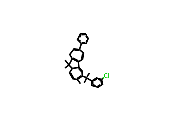 CC1=C(C(C)(C)c2cccc(Cl)c2)C=C2C3=C(CC=C(c4ccccc4)C=C3)C(C)(C)C2C=C1